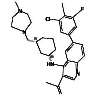 C=C(C)c1cnc2ccc(-c3cc(F)c(C)c(Cl)c3)cc2c1N[C@H]1CCC[C@@H](CN2CCN(C)CC2)C1